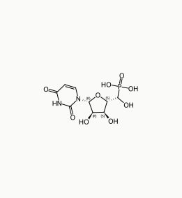 O=c1ccn([C@@H]2O[C@H](C(O)P(=O)(O)O)[C@@H](O)[C@H]2O)c(=O)[nH]1